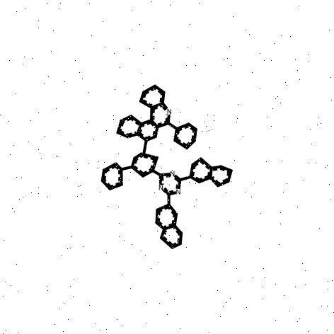 c1ccc(-c2cc(-c3nc(-c4ccc5ccccc5c4)nc(-c4ccc5ccccc5c4)n3)cc(-c3cc4c(-c5ccccc5)nc5ccccc5c4c4ccccc34)c2)cc1